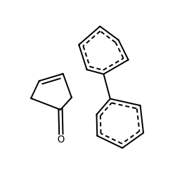 O=C1CC=CC1.c1ccc(-c2ccccc2)cc1